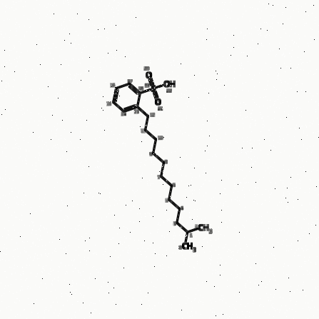 CC(C)CCCCCCCCCCc1ccccc1S(=O)(=O)O